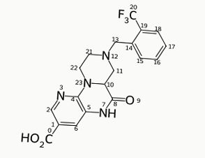 O=C(O)c1cnc2c(c1)NC(=O)C1CN(Cc3ccccc3C(F)(F)F)CCN21